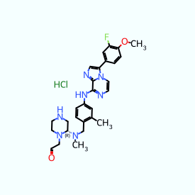 COc1ccc(-c2cnc3c(Nc4ccc(CN(C)[C@H]5CNCCN5CC=O)c(C)c4)nccn23)cc1F.Cl